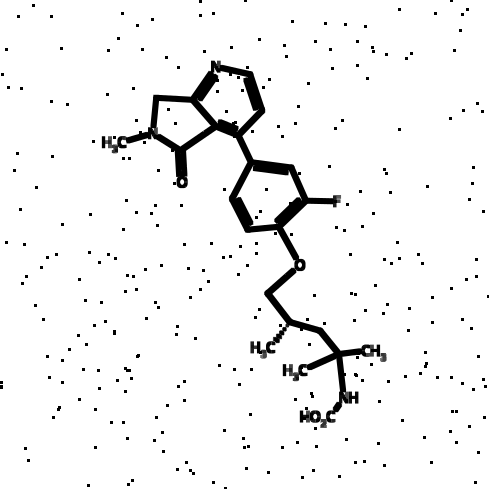 C[C@H](COc1ccc(-c2ccnc3c2C(=O)N(C)C3)cc1F)CC(C)(C)NC(=O)O